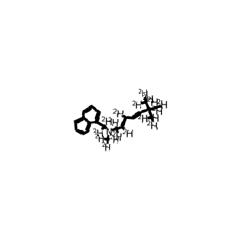 [2H]/C(C#CC(C([2H])([2H])[2H])(C([2H])([2H])[2H])C([2H])([2H])[2H])=C(/[2H])C([2H])([2H])N(C([2H])([2H])[2H])C([2H])([2H])c1cccc2ccccc12